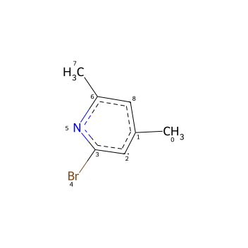 Cc1[c]c(Br)nc(C)c1